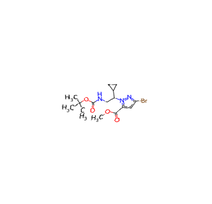 COC(=O)c1cc(Br)nn1C(CNC(=O)OC(C)(C)C)C1CC1